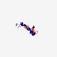 Cn1nc(C(F)(F)F)cc1-c1ccc(S(=O)(=O)N2CCN(c3cnn(-c4cccc(Cl)c4)c(=O)c3OCC3(C)CC3)CC2)s1